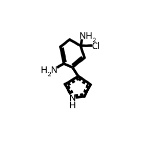 NC1=CCC(N)(Cl)C=C1c1cc[nH]c1